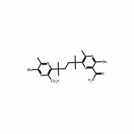 Cc1nc(C(C)(C)CCC(C)(C)c2nc(C(N)=O)c(C(C)(C)C)nc2C)c(C(=O)O)nc1C(C)(C)C